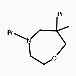 CC(C)N1CCOCC(C)(C(C)C)C1